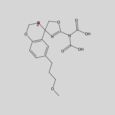 COCCCc1ccc2c(c1)C1(COC(N(C(=O)O)C(=O)O)=N1)C1(COC1)CO2